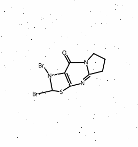 O=c1c2c(nc3n1CCC3)SC(Br)N2Br